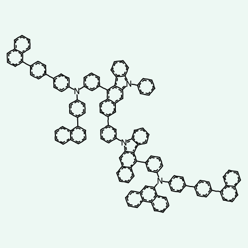 c1ccc(-n2c3ccccc3c3c(-c4cccc(N(c5ccc(-c6ccc(-c7cccc8ccccc78)cc6)cc5)c5ccc(-c6cccc7ccccc67)cc5)c4)c4ccc(-c5cccc(-n6c7ccccc7c7c(-c8cccc(N(c9ccc(-c%10ccc(-c%11cccc%12ccccc%11%12)cc%10)cc9)c9cc%10ccccc%10c%10ccccc9%10)c8)c8ccccc8cc76)c5)cc4cc32)cc1